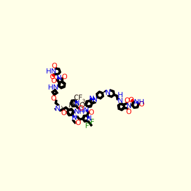 COc1cc2nn([C@H]3CC[C@H](CN4CCC(CCNc5cccc6c5C(=O)N([C@H]5CCC(=O)NC5=O)C6=O)CC4)CC3)cc2cc1NC(=O)c1cc(C2CN(c3cc4c(cc3NC(=O)c3cccc(C(F)(F)F)n3)C[C@](C)(CN(C)CCCO[C@H]3C[C@H](Nc5cccc6c5C(=O)N(C5CCC(=O)NC5=O)C6=O)C3)O4)CCO2)cc(C(C)(F)F)n1